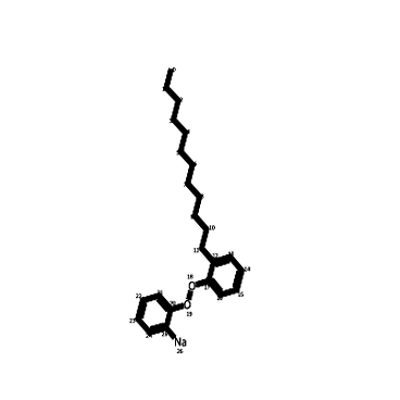 CCCCCCCCCCCCc1ccccc1OOc1cccc[c]1[Na]